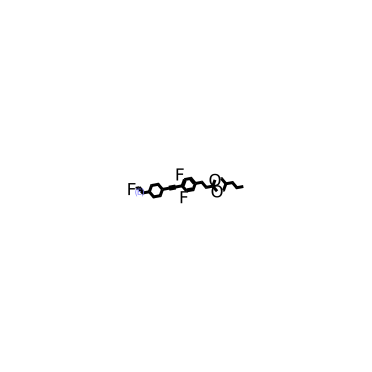 CCCC1COC(CCc2cc(F)c(C#CC3CCC(/C=C/F)CC3)c(F)c2)OC1